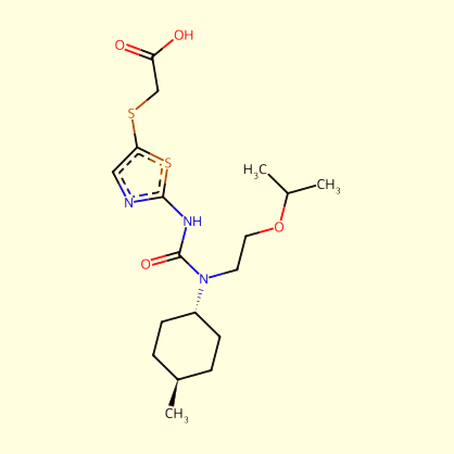 CC(C)OCCN(C(=O)Nc1ncc(SCC(=O)O)s1)[C@H]1CC[C@H](C)CC1